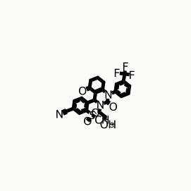 CS(=O)(=O)c1cc(C#N)ccc1C1C2=C(CCCC2=O)N(c2cccc(C(F)(F)F)c2)C(=O)N1CCO